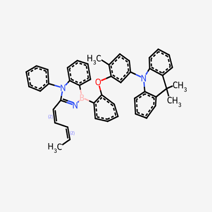 C/C=C\C=C/C1=NB(c2ccccc2Oc2cc(N3c4ccccc4C(C)(C)c4ccccc43)ccc2C)c2ccccc2N1c1ccccc1